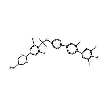 CCCCCCC1COC(c2cc(F)c(C(F)(F)Oc3ccc(-c4ccc(-c5cc(F)c(F)c(F)c5)c(F)c4)cc3)c(F)c2)OC1